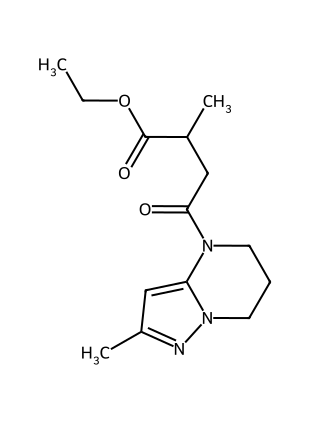 CCOC(=O)C(C)CC(=O)N1CCCn2nc(C)cc21